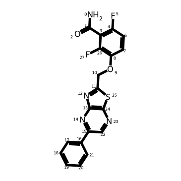 NC(=O)c1c(F)ccc(OCc2nc3nc(-c4ccccc4)cnc3s2)c1F